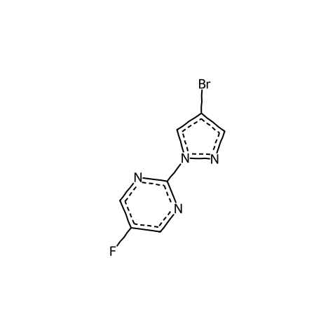 Fc1cnc(-n2cc(Br)cn2)nc1